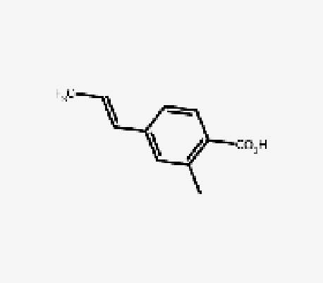 Cc1cc(C=CC(F)(F)F)ccc1C(=O)O